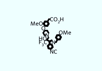 [C-]#[N+]c1ccc2c(C(O)(CN3CCC(Oc4ccc(CC(=O)O)cc4OC)CC3)C(F)(F)F)cn(Cc3ccc(OC)cc3)c2c1